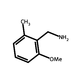 COc1cccc(C)c1CN